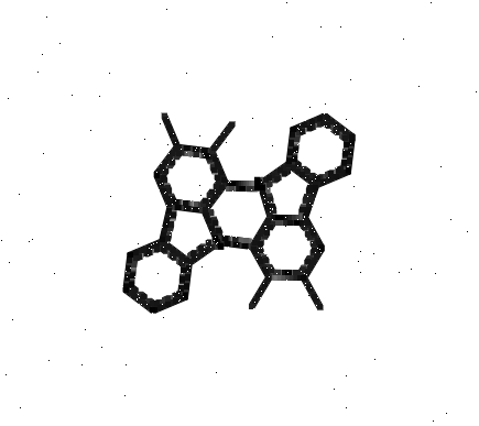 Cc1cc2c3ccccc3n3c4c(C)c(C)cc5c6ccccc6n(c(c1C)c23)c54